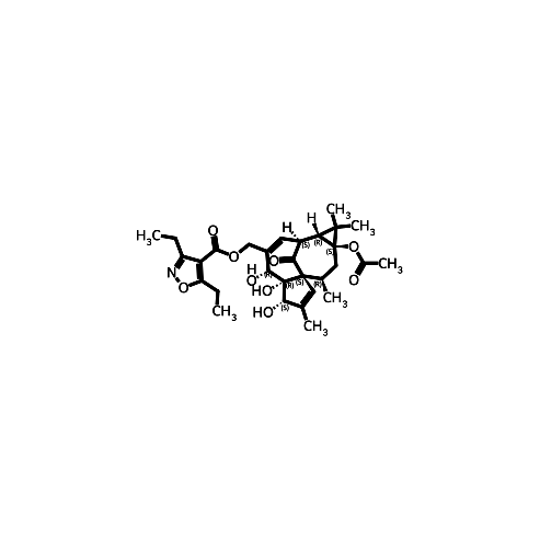 CCc1noc(CC)c1C(=O)OCC1=C[C@@H]2C(=O)[C@]3(C=C(C)[C@H](O)[C@@]3(O)[C@@H]1O)[C@H](C)C[C@]1(OC(C)=O)[C@H]2C1(C)C